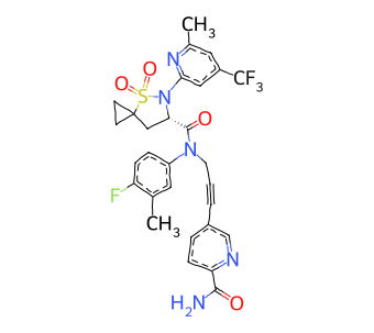 Cc1cc(C(F)(F)F)cc(N2[C@H](C(=O)N(CC#Cc3ccc(C(N)=O)nc3)c3ccc(F)c(C)c3)CC3(CC3)S2(=O)=O)n1